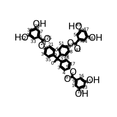 CC(c1ccc(OC(=O)c2cc(O)cc(O)c2)cc1)(c1ccc(OC(=O)c2cc(O)cc(O)c2)cc1)C1C=CC(OC(=O)c2cc(O)cc(O)c2)=CC1